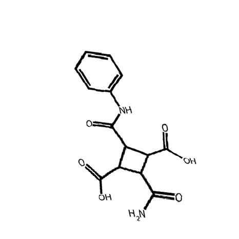 NC(=O)C1C(C(=O)O)C(C(=O)Nc2ccccc2)C1C(=O)O